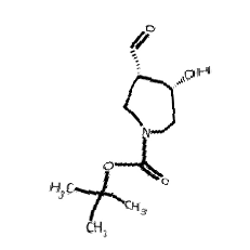 CC(C)(C)OC(=O)N1C[C@@H](O)[C@@H](C=O)C1